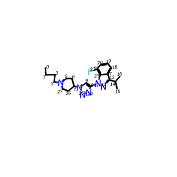 CCCCN1CCC(n2cc(-n3nc(C(C)C)c4cccc(F)c43)nn2)CC1